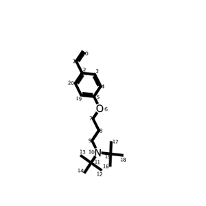 C=Cc1ccc(OCCCN(C(C)(C)C)C(C)(C)C)cc1